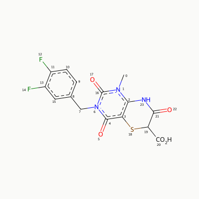 Cn1c2c(c(=O)n(Cc3ccc(F)c(F)c3)c1=O)SC(C(=O)O)C(=O)N2